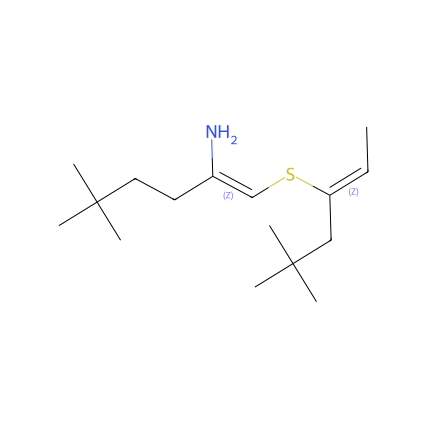 C/C=C(/CC(C)(C)C)S/C=C(\N)CCC(C)(C)C